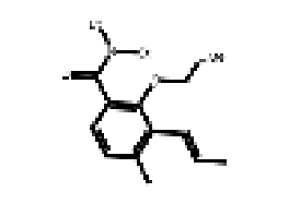 CC=Cc1c(C)ccc(C(=O)N(CC)CC)c1OCOC